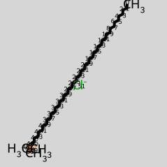 CCCCCCCCCCCCCCCCCCCCCCCCCCCCCCCCCCCCCCCCCCCCCCC[P+](C)(C)C.[Cl-]